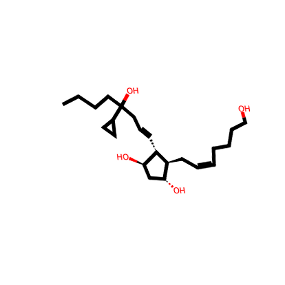 CCCCC(O)(C/C=C/[C@@H]1[C@@H](C/C=C\CCCCO)[C@H](O)C[C@H]1O)C1CC1